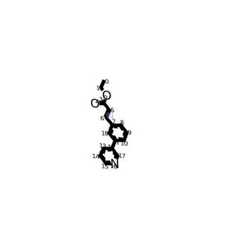 CCOC(=O)/C=C/c1cccc(-c2cccnc2)c1